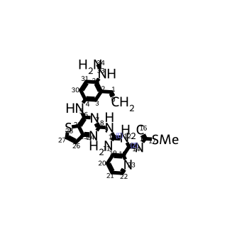 C=Cc1cc(Nc2nc(N/C(N)=N/C(=N\C(=C)SC)c3ccccn3)nc3ccsc23)ccc1NN